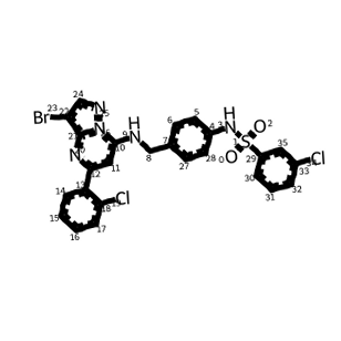 O=S(=O)(Nc1ccc(CNc2cc(-c3ccccc3Cl)nc3c(Br)cnn23)cc1)c1cccc(Cl)c1